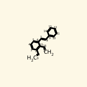 C=Cc1cccc(C=Cc2ccccc2)c1C=C